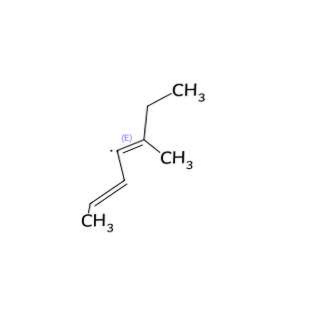 CC=C/[C]=C(\C)CC